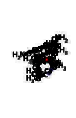 COc1cc2cc(c1Cl)N(C)C(=O)C[C@H](OC(=O)[C@H](C)N(C)C(=O)CCCCC(=O)NNC(=O)[C@H](C)NC(=O)[C@H](CC(N)=O)NC(=O)CCOCCOCCOCCOCCN)[C@@]1(C)CC(C)(O1)[C@@H]1C[C@@](O)(NC(=O)O1)[C@H](OC)/C=C/C=C(\C)C2